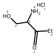 CCC(=O)C(N)CO.Cl